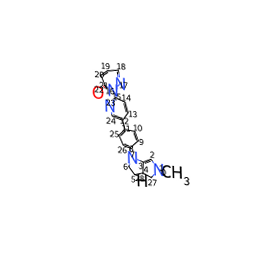 CN1C=C2[C@H](CCN2c2ccc(-c3ccc(-n4ncccc4=O)nc3)cc2)C1